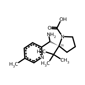 Cc1ccc(C(N)[C@@]2(C(C)(C)C)CCCN2C(=O)O)nc1